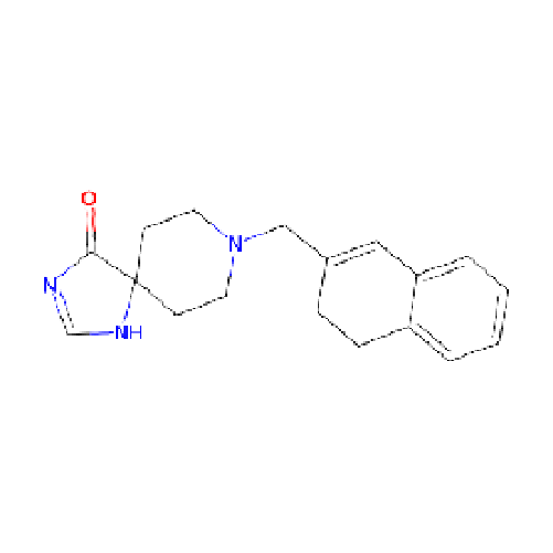 O=C1N=CNC12CCN(CC1=Cc3ccccc3CC1)CC2